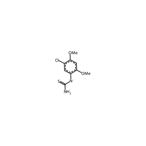 COc1cc(OC)c([N]C(N)=S)cc1Cl